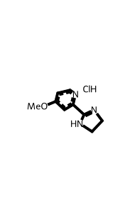 COc1ccnc(C2=NCCN2)c1.Cl